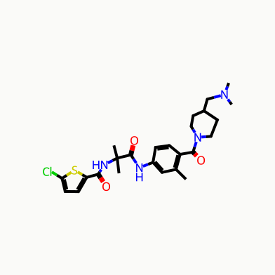 Cc1cc(NC(=O)C(C)(C)NC(=O)c2ccc(Cl)s2)ccc1C(=O)N1CCC(CN(C)C)CC1